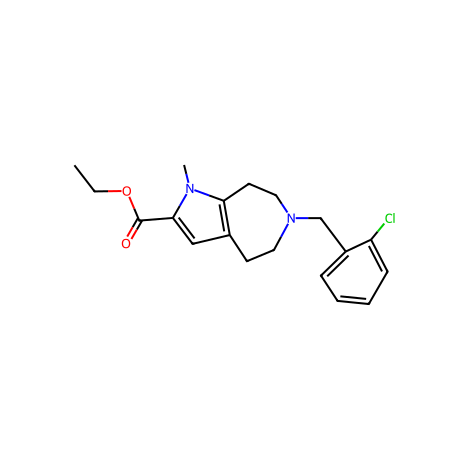 CCOC(=O)c1cc2c(n1C)CCN(Cc1ccccc1Cl)CC2